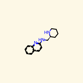 c1ccc2nc(NC[C@@H]3CCCCN3)ccc2c1